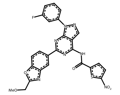 COCc1nc2cc(-c3nc(NC(=O)c4ccc([N+](=O)[O-])s4)c4cnn(-c5cccc(F)c5)c4n3)ccc2o1